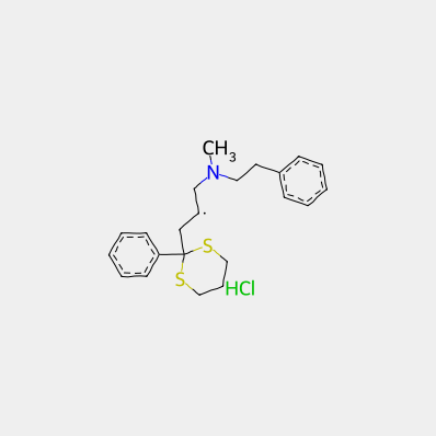 CN(C[CH]CC1(c2ccccc2)SCCCS1)CCc1ccccc1.Cl